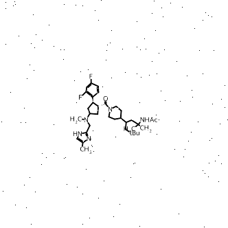 CC(=O)NC(C)(C)CC(CC(C)(C)C)C1CCN(C(=O)[C@@H]2CC(N(C)Cc3nc(C)c[nH]3)C[C@H]2c2ccc(F)cc2F)CC1